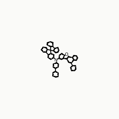 c1ccc(-c2ccc(N(c3ccc4c(c3)C3(c5ccccc5-c5ccccc53)c3ccccc3-4)c3ccc4oc5c6ccccc6c(-c6ccccc6)cc5c4c3)cc2)cc1